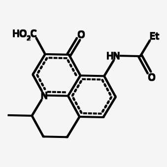 CCC(=O)Nc1ccc2c3c1c(=O)c(C(=O)O)cn3C(C)CC2